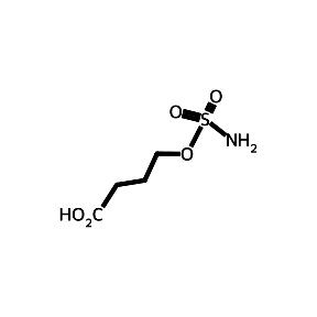 NS(=O)(=O)OCCCC(=O)O